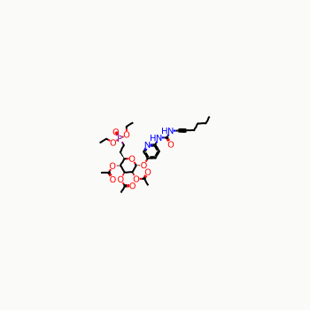 CCCCC#CNC(=O)Nc1ccc(O[C@H]2O[C@H](CCP(=O)(OCC)OCC)[C@@H](OC(C)=O)[C@H](OC(C)=O)[C@@H]2OC(C)=O)cn1